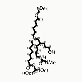 CCCCCCCCCCCOC(=O)CCCCCN(CCCCCCCC(=O)OC(CCCCCCCC)CCCCCCCC)CC(CCCO)CCCCNC(=O)NC